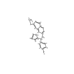 CCc1cnc2ccc(OC(c3ccc(F)cn3)c3nnco3)cc2c1